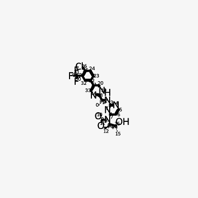 C[C@@H](Nc1nccc(N2C(=O)OC[C@@H]2[C@@H](C)O)n1)c1ncc(-c2ccc(Cl)c(C(F)(F)F)c2)cn1